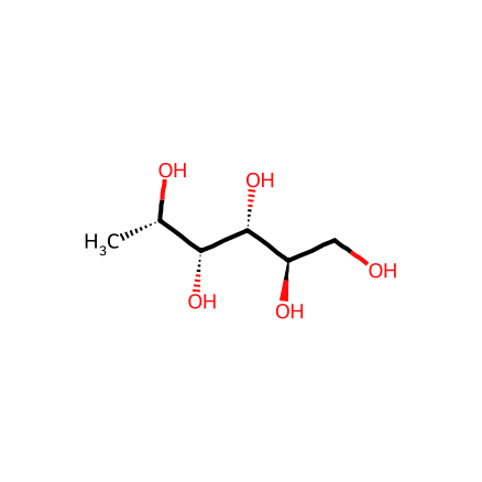 C[C@H](O)[C@@H](O)[C@H](O)[C@H](O)CO